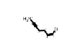 CC/C=C\CCC#CN